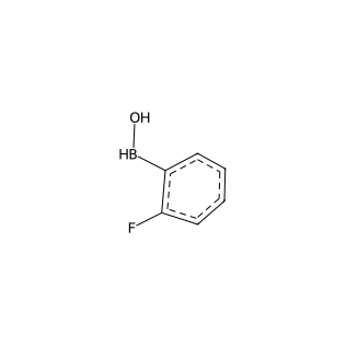 OBc1ccccc1F